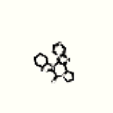 CC(C)(C)OC(=O)N1CCCC1c1nc2cnccn2c1NC1CCCCC1